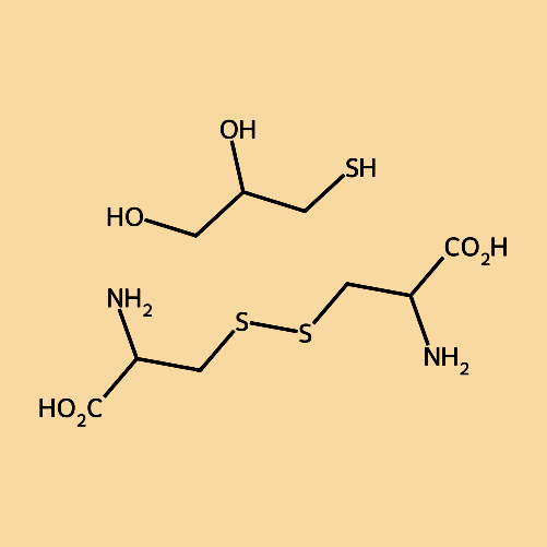 NC(CSSCC(N)C(=O)O)C(=O)O.OCC(O)CS